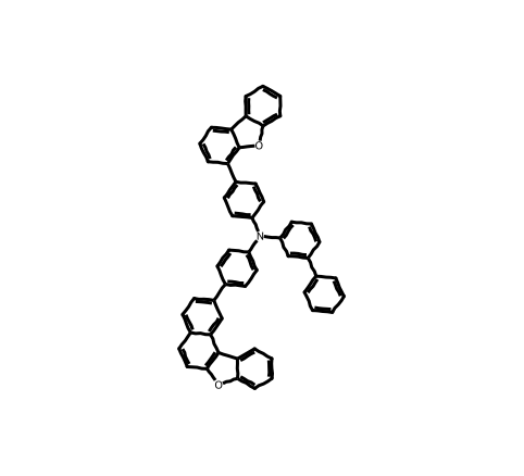 c1ccc(-c2cccc(N(c3ccc(-c4ccc5ccc6oc7ccccc7c6c5c4)cc3)c3ccc(-c4cccc5c4oc4ccccc45)cc3)c2)cc1